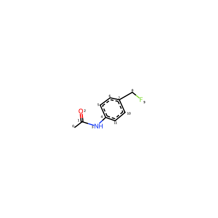 CC(=O)Nc1ccc(CF)cc1